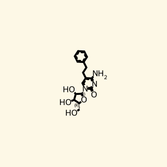 Nc1nc(=O)n([C@@H]2O[C@H](CO)C(O)C2O)cc1CCc1ccccc1